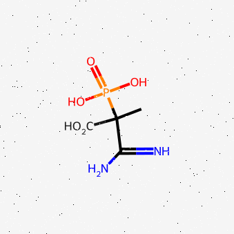 CC(C(=N)N)(C(=O)O)P(=O)(O)O